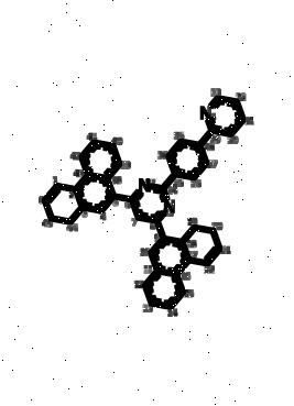 C1=Cc2c(cc(-c3cc(-c4cc5ccccc5c5c4CCC=C5)nc(-c4ccc(-c5ccccn5)cc4)n3)c3ccccc23)CC1